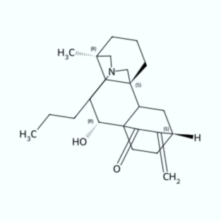 C=C1C(=O)C23CC[C@H]1CC2[C@@]12CCC[C@@](C)(CN(CCC)C1)C2C[C@H]3O